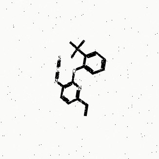 CCc1ccc(N=C=S)c(Oc2ccccc2C(C)(C)C)n1